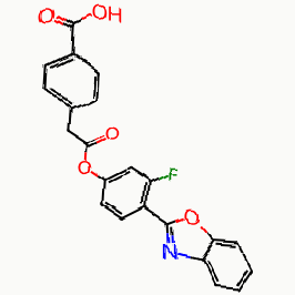 O=C(Cc1ccc(C(=O)O)cc1)Oc1ccc(-c2nc3ccccc3o2)c(F)c1